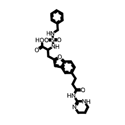 O=C(CCc1ccc2oc(CC(NS(=O)(=O)NCc3ccccc3)C(=O)O)cc2c1)NC1=NCCCN1